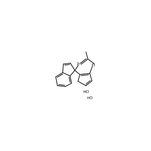 CCC1=C([C]2([Zr]=[C](C)C)C=Cc3ccccc32)CC=C1.Cl.Cl